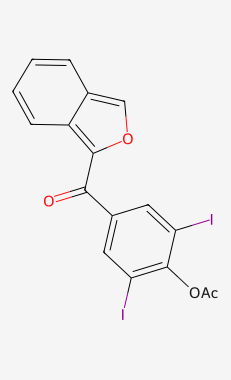 CC(=O)Oc1c(I)cc(C(=O)c2occ3ccccc23)cc1I